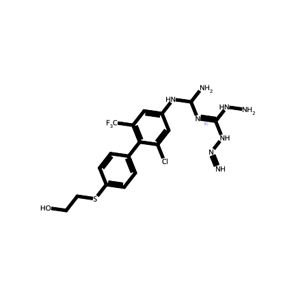 N=NN/C(=N/C(N)Nc1cc(Cl)c(-c2ccc(SCCO)cc2)c(C(F)(F)F)c1)NN